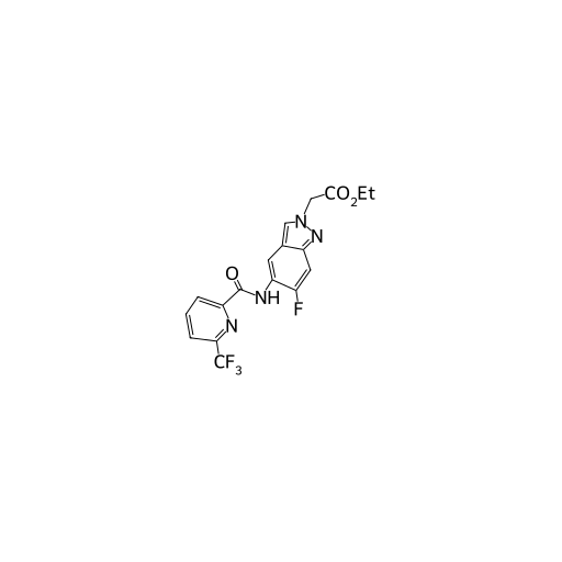 CCOC(=O)Cn1cc2cc(NC(=O)c3cccc(C(F)(F)F)n3)c(F)cc2n1